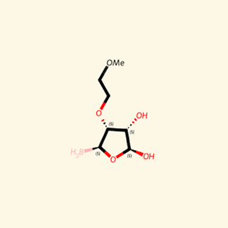 B[C@@H]1O[C@H](O)[C@@H](O)[C@H]1OCCOC